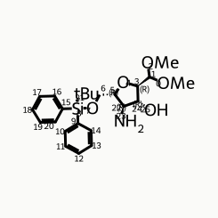 COC(OC)[C@@H]1O[C@@H](CO[Si](c2ccccc2)(c2ccccc2)C(C)(C)C)[C@H](N)[C@H]1O